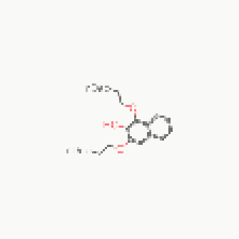 CCCCCCCCCCCCOc1cc2ccccc2c(OCCCCCCCCCCCC)c1O